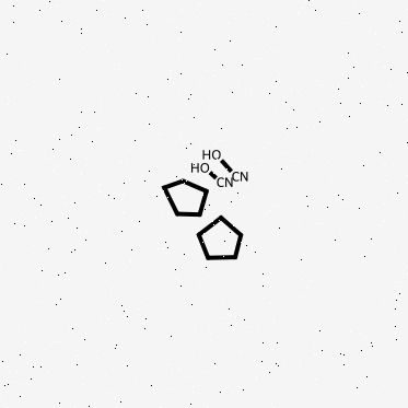 C1CCCC1.C1CCCC1.N#CO.N#CO